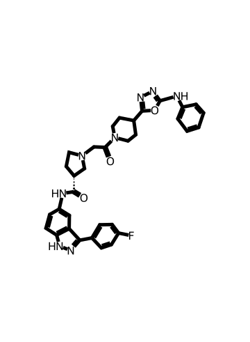 O=C(Nc1ccc2[nH]nc(-c3ccc(F)cc3)c2c1)[C@@H]1CCN(CC(=O)N2CCC(c3nnc(Nc4ccccc4)o3)CC2)C1